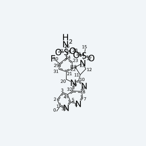 Cc1ccc2c(ncc3nc(C4CN(S(C)(=O)=O)C4)n(Cc4ccc(S(N)(=O)=O)c(F)c4)c32)n1